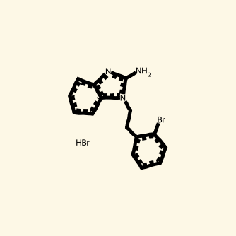 Br.Nc1nc2ccccc2n1CCc1ccccc1Br